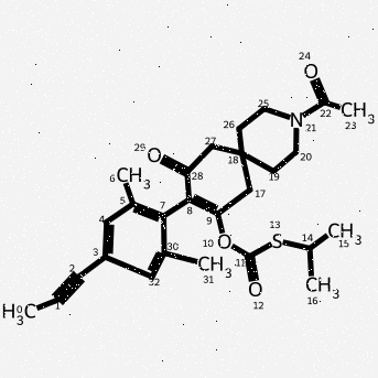 CC#Cc1cc(C)c(C2=C(OC(=O)SC(C)C)CC3(CCN(C(C)=O)CC3)CC2=O)c(C)c1